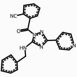 N#Cc1ccccc1C(=O)n1nc(-c2ccncc2)nc1NCc1ccccc1